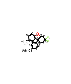 COc1ccc(C23CCC(F)(F)CC2Oc2ccc(C)cc23)cc1